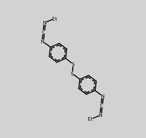 CCN=C=Nc1ccc(SSc2ccc(N=C=NCC)cc2)cc1